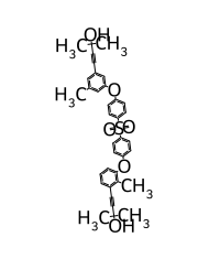 Cc1cc(C#CC(C)(C)O)cc(Oc2ccc(S(=O)(=O)c3ccc(Oc4cccc(C#CC(C)(C)O)c4C)cc3)cc2)c1